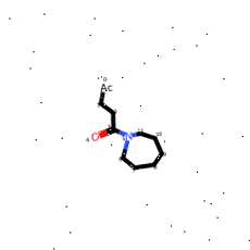 CC(=O)CCC(=O)N1CCCCCC1